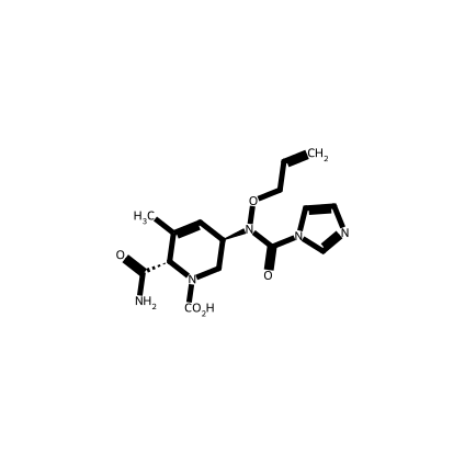 C=CCON(C(=O)n1ccnc1)[C@@H]1C=C(C)[C@@H](C(N)=O)N(C(=O)O)C1